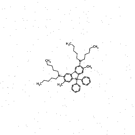 CCCCCN(CCCCC)c1cc2c(cc1C)[Si](c1ccccc1)(c1ccccc1)c1cc(C)c(N(CCCCC)CCCCC)cc1-2